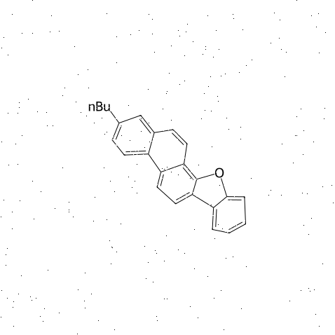 CCCCc1ccc2c(ccc3c2ccc2c4ccccc4oc23)c1